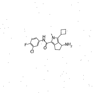 Cn1c(C(=O)Nc2ccc(F)c(Cl)c2)c2c(c1C1CCC1)C(N)CC2